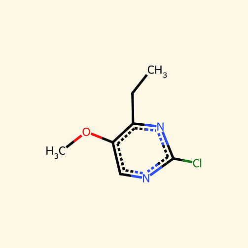 CCc1nc(Cl)ncc1OC